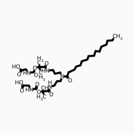 CCCCCCCCCCCCCCCC(=O)N(CCCNC(=O)C(C)(C)OC(=O)NCC(=O)O)CCCNC(=O)C(C)(C)OC(=O)NCC(=O)O